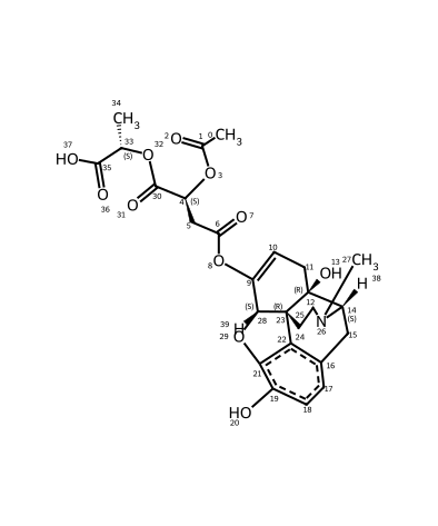 CC(=O)O[C@@H](CC(=O)OC1=CC[C@]2(O)[C@@H]3Cc4ccc(O)c5c4[C@]2(CCN3C)[C@@H]1O5)C(=O)O[C@@H](C)C(=O)O